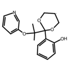 CC(C)(Oc1cccnc1)C1(c2ccccc2O)OC[CH]CO1